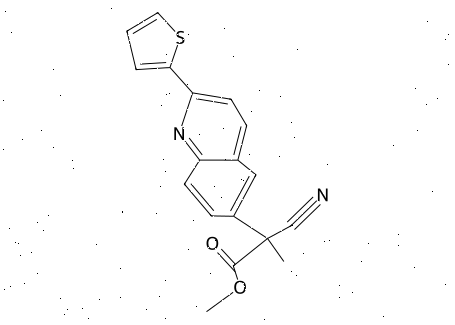 COC(=O)C(C)(C#N)c1ccc2nc(-c3cccs3)ccc2c1